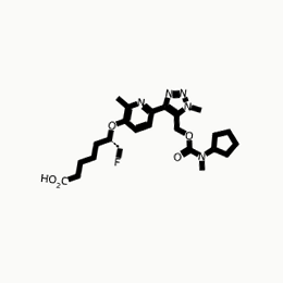 Cc1nc(-c2nnn(C)c2COC(=O)N(C)C2CCCC2)ccc1O[C@H](CF)CCCCC(=O)O